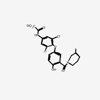 CCOC(=O)C(=O)Nc1cc(Cl)c(Oc2ccc(O)c(C(=O)N3CCCC(C)C3)c2)c(Cl)c1